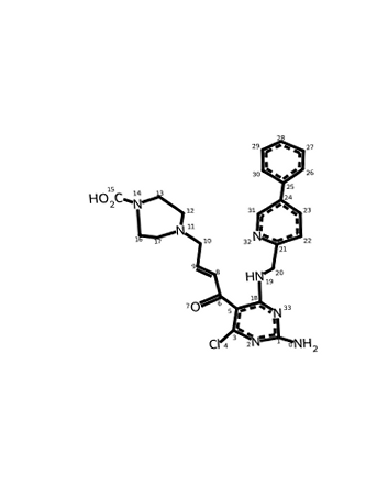 Nc1nc(Cl)c(C(=O)/C=C/CN2CCN(C(=O)O)CC2)c(NCc2ccc(-c3ccccc3)cn2)n1